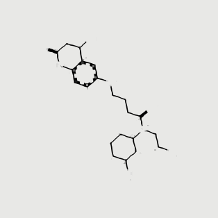 CC1CC(=O)Nc2ccc(OCCCC(=O)N(CCO)C3CCCC(O)C3)cc21